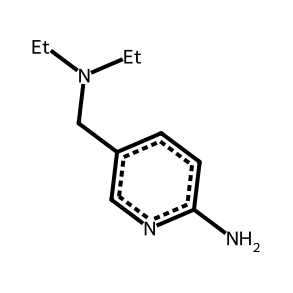 CCN(CC)Cc1ccc(N)nc1